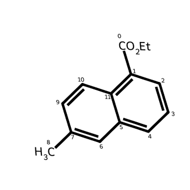 CCOC(=O)c1cccc2cc(C)ccc12